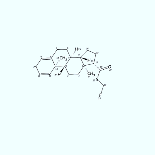 C[C@]12CC[C@H]3[C@@H](CCC4=CCC=C[C@@]43C)[C@@H]1CC[C@@H]2C(=O)SCF